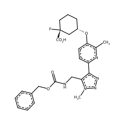 Cc1nc(-c2nnn(C)c2CNC(=O)OCc2ccccc2)ccc1O[C@H]1CCC[C@](F)(C(=O)O)C1